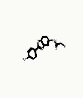 Cc1ccc(-c2nc3cc(NC(=O)CF)ccc3o2)cc1